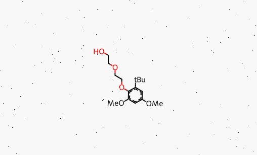 COc1cc(OC)c(OCCOCCO)c(C(C)(C)C)c1